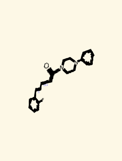 O=C(/C=C/C=C/c1ccccc1F)N1CCN(c2ccccc2)CC1